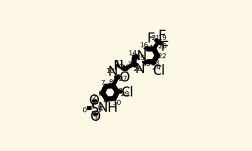 CS(=O)(=O)Nc1ccc(-c2nnc(-c3cn4cc(C(F)(F)F)cc(Cl)c4n3)o2)c(Cl)c1